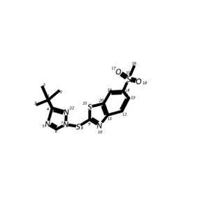 CC(C)(C)c1ncn(Sc2nc3ccc(S(C)(=O)=O)cc3s2)n1